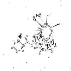 C/C1=C/[C@@H](C)C/C=C\[C@H]2[C@@H]3O[C@]3(C)[C@@H](C)[C@H]3[C@H](Cc4c[nH]c5ccccc45)NC(=O)[C@]32C(=O)/C=C\C(=O)[C@@H]1O